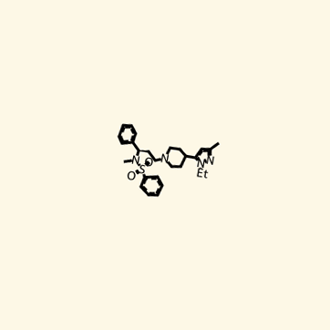 CCn1nc(C)cc1C1CCN(CC[C@H](c2ccccc2)N(C)S(=O)(=O)c2ccccc2)CC1